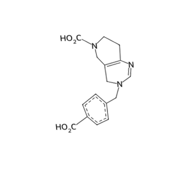 O=C(O)c1ccc(CN2C=NC3=C(C2)CN(C(=O)O)CC3)cc1